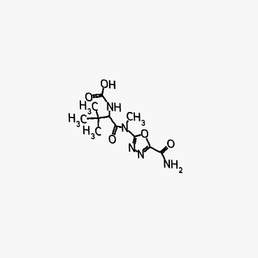 CN(C(=O)C(NC(=O)O)C(C)(C)C)c1nnc(C(N)=O)o1